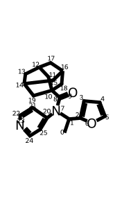 CC(c1ccco1)N(C(=O)C12CC3CC(CC(C3)C1)C2)c1ccncc1